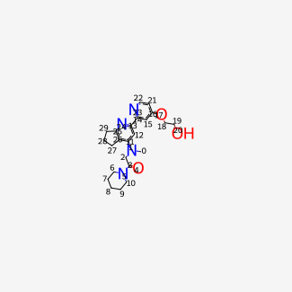 CN(CC(=O)N1CCCCC1)c1cc(-c2cc(OCCO)ccn2)nc2c1CCC2